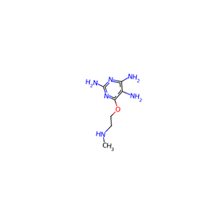 CNCCOc1nc(N)nc(N)c1N